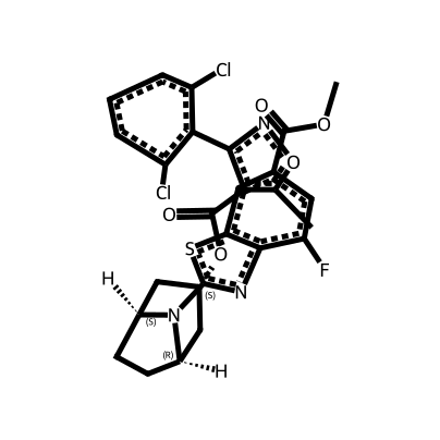 COC(=O)c1cc(F)c2nc(N3[C@@H]4CC[C@H]3C[C@H](OC(=O)c3c(-c5c(Cl)cccc5Cl)noc3C)C4)sc2c1